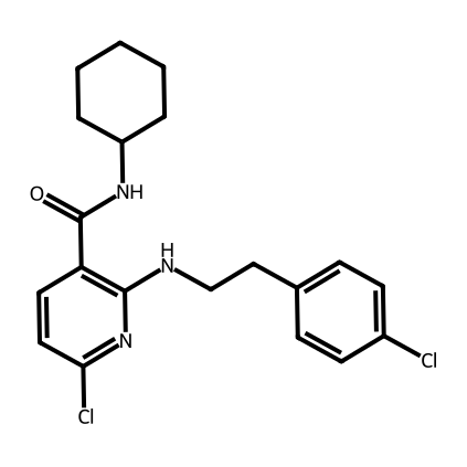 O=C(NC1CCCCC1)c1ccc(Cl)nc1NCCc1ccc(Cl)cc1